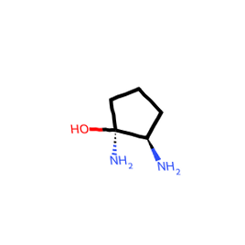 N[C@@H]1CCC[C@]1(N)O